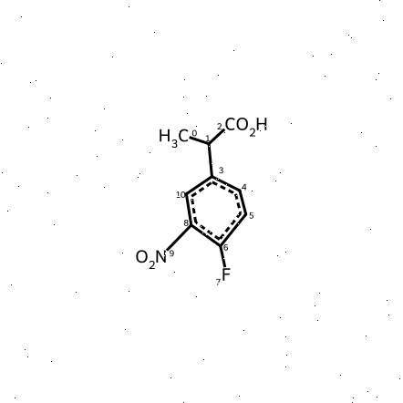 CC(C(=O)O)c1ccc(F)c([N+](=O)[O-])c1